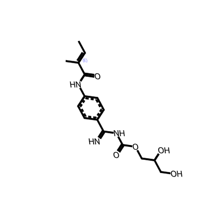 C/C=C(\C)C(=O)Nc1ccc(C(=N)NC(=O)OCC(O)CO)cc1